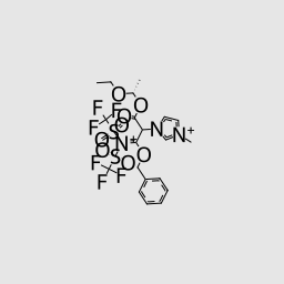 CCO[C@H](C)OC(=O)C(C(OCc1ccccc1)=[N+](S(=O)(=O)C(F)(F)F)S(=O)(=O)C(F)(F)F)n1cc[n+](C)c1